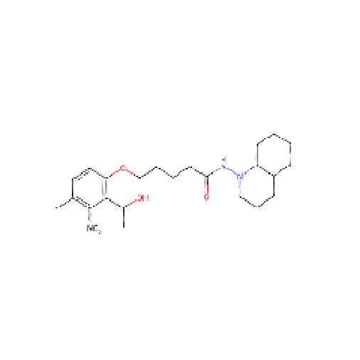 Cc1ccc(OCCCCC(=O)NN2CCCC3CCCCC32)c(C(C)O)c1[N+](=O)[O-]